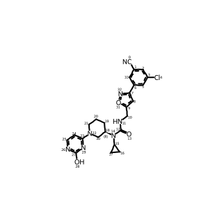 N#Cc1cc(Cl)cc(-c2cc(CNC(=O)N(C3CC3)[C@@H]3CCCN(c4ccnc(O)n4)C3)on2)c1